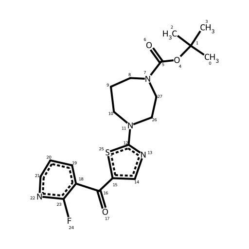 CC(C)(C)OC(=O)N1CCCN(c2ncc(C(=O)c3cccnc3F)s2)CC1